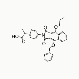 CCCOc1c2c(c(OCc3ccccc3)c3ccccc13)C(=O)N(c1ccc(C(CC)C(=O)O)cc1)C2=O